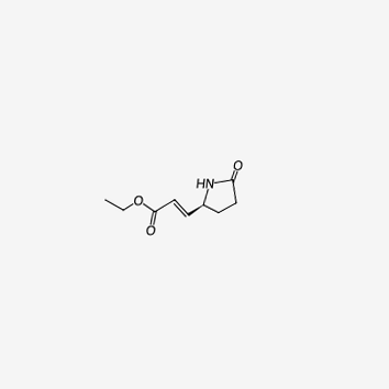 CCOC(=O)/C=C/[C@@H]1CCC(=O)N1